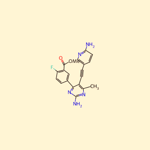 COC(=O)c1cc(-c2nc(N)nc(C)c2C#Cc2ccc(N)nc2)ccc1F